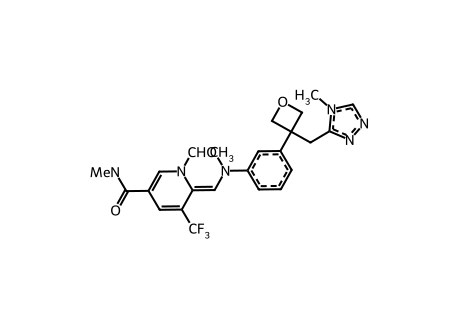 CNC(=O)C1=CN(C=O)/C(=C\N(C)c2cccc(C3(Cc4nncn4C)COC3)c2)C(C(F)(F)F)=C1